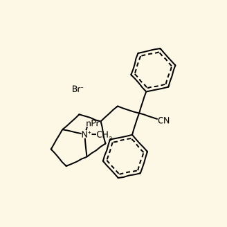 CCC[N+]1(C)C2CCC1CC(CC(C#N)(c1ccccc1)c1ccccc1)C2.[Br-]